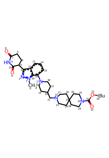 Cn1nc(C2CCC(=O)NC2=O)c2cccc(N3CCC(CN4CCC5(CC4)CCN(C(=O)OC(C)(C)C)CC5)CC3)c21